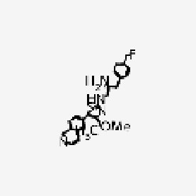 COC(C)c1nc(NC[C@@H](N)Cc2ccc(CF)cc2)sc1-c1ccc2cnccc2c1